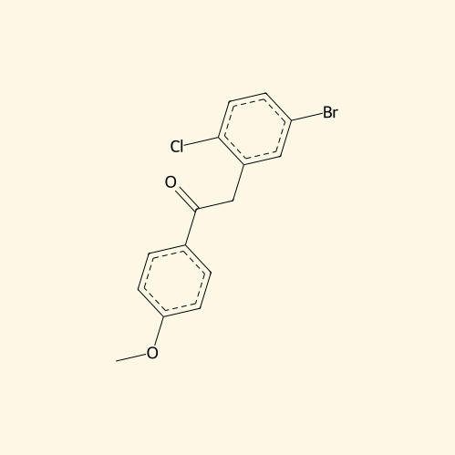 COc1ccc(C(=O)Cc2cc(Br)ccc2Cl)cc1